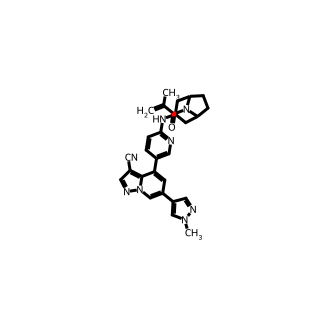 C=C(C)C(=O)N1C2CCC1CC(Nc1ccc(-c3cc(-c4cnn(C)c4)cn4ncc(C#N)c34)cn1)C2